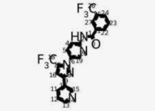 O=C(Nc1ccc(-n2nc(-c3cccnc3)cc2C(F)(F)F)cn1)c1cccc(C(F)(F)F)c1